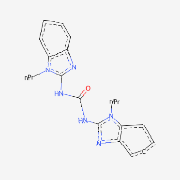 CCCn1c(NC(=O)Nc2nc3ccccc3n2CCC)nc2ccccc21